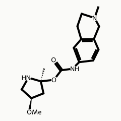 CO[C@H]1CN[C@@](C)(OC(=O)Nc2ccc3c(c2)CCN(C)C3)C1